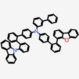 c1ccc(-c2cccc(N(c3ccc(-c4ccccc4-c4ccccc4-n4c5ccccc5c5ccccc54)cc3)c3ccc(-c4ccccc4-c4cccc5c4oc4ccccc45)cc3)c2)cc1